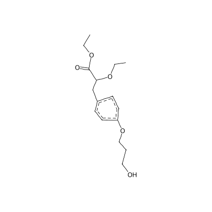 CCOC(=O)C(Cc1ccc(OCCCO)cc1)OCC